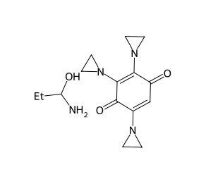 CCC(N)O.O=C1C=C(N2CC2)C(=O)C(N2CC2)=C1N1CC1